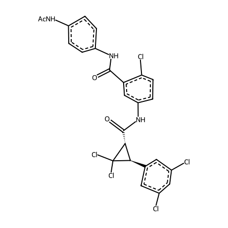 CC(=O)Nc1ccc(NC(=O)c2cc(NC(=O)[C@@H]3[C@@H](c4cc(Cl)cc(Cl)c4)C3(Cl)Cl)ccc2Cl)cc1